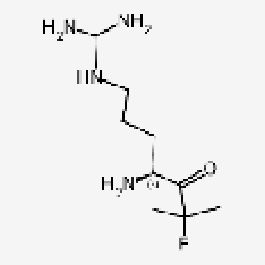 CC(C)(F)C(=O)[C@@H](N)CCCNC(N)N